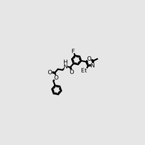 CCc1nc(C)oc1-c1cc(F)cc(C(=O)NCCC(=O)OCc2ccccc2)c1